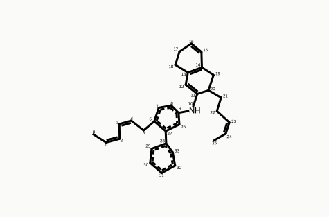 C/C=C\C=C/Cc1ccc(NC2=CC3=C(C=CCC3)CC2CC/C=C\C)cc1-c1ccccc1